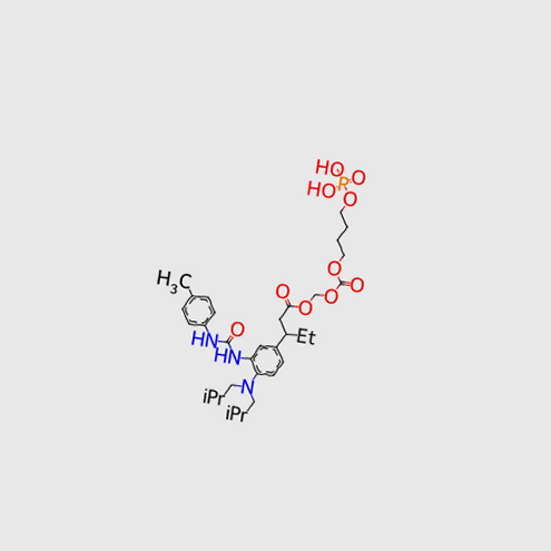 CCC(CC(=O)OCOC(=O)OCCCCOP(=O)(O)O)c1ccc(N(CC(C)C)CC(C)C)c(NC(=O)Nc2ccc(C)cc2)c1